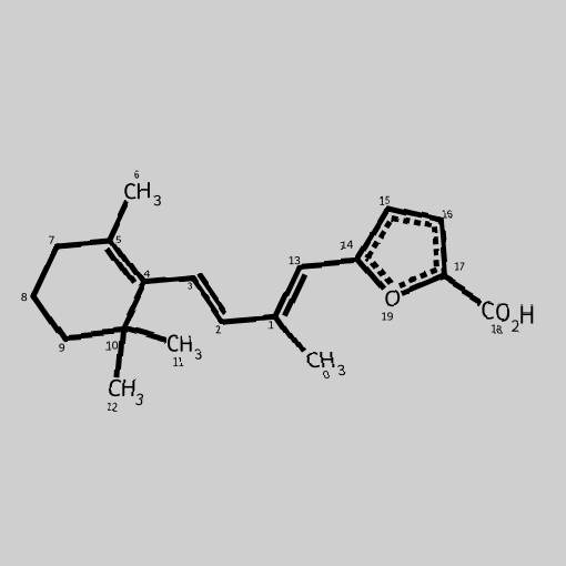 CC(C=CC1=C(C)CCCC1(C)C)=Cc1ccc(C(=O)O)o1